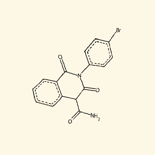 NC(=O)C1C(=O)N(c2ccc(Br)cc2)C(=O)c2ccccc21